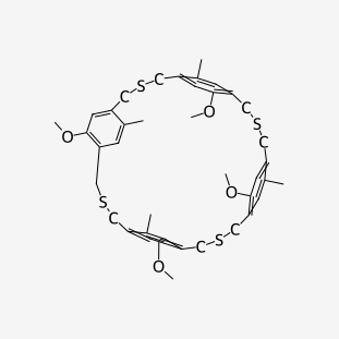 COc1cc2c(C)cc1CSCc1cc(OC)c(cc1C)CSCc1cc(C)c(cc1OC)CSCc1cc(C)c(cc1OC)CSC2